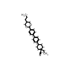 CCCC1COC(c2ccc(-c3ccc(C4CCC(C#N)(CC)CC4)cc3)cc2)OC1